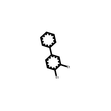 CCc1ccc(-c2[c]cccc2)cc1CC